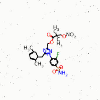 CC1=CC=C(C)C(Cc2nc(COC(=O)C(C)(C)CO[N+](=O)[O-])nn2-c2ccc(S(N)(=O)=O)cc2F)C1